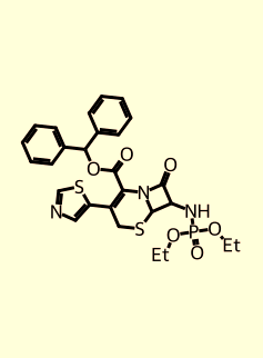 CCOP(=O)(NC1C(=O)N2C(C(=O)OC(c3ccccc3)c3ccccc3)=C(c3cncs3)CSC12)OCC